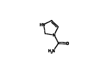 NC(=O)N1C=CNC1